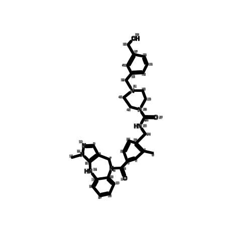 Cc1cc(C(=O)N2Cc3cnn(C)c3Nc3ccccc32)ccc1CNC(=O)N1CCN(Cc2cccc(CO)c2)CC1